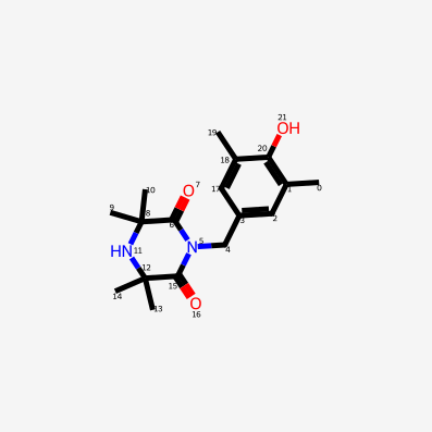 Cc1cc(CN2C(=O)C(C)(C)NC(C)(C)C2=O)cc(C)c1O